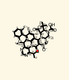 COc1cccc(F)c1-c1nc2c(cc1F)c(N1C[C@@H](C)N(C(=O)O)C(C(C)(C)C)[C@]1(C)C(=O)O)c([N+](=O)[O-])c(=O)n2-c1c(C(C)C)ncnc1C(C)C